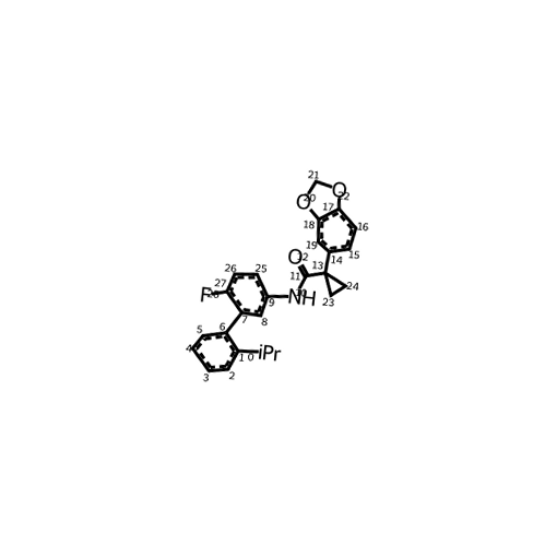 CC(C)c1ccccc1-c1cc(NC(=O)C2(c3ccc4c(c3)OCO4)CC2)ccc1F